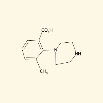 Cc1cccc(C(=O)O)c1N1CCNCC1